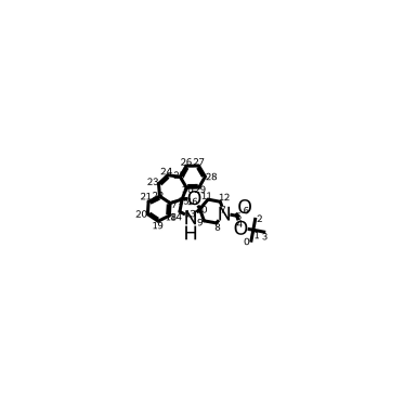 CC(C)(C)OC(=O)N1CCC2(CC1)NCC1(O2)c2ccccc2C=Cc2ccccc21